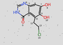 O=c1[nH]cnc2cc(O)c(O)c(CCCl)c12